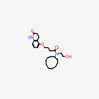 O=C1CCc2c(cccc2OCCCC(=O)N(CCO)C2CCCCCCCCC2)N1